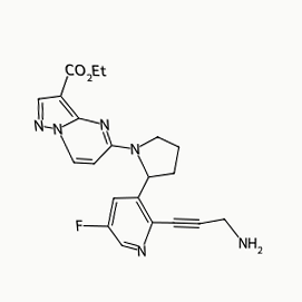 CCOC(=O)c1cnn2ccc(N3CCCC3c3cc(F)cnc3C#CCN)nc12